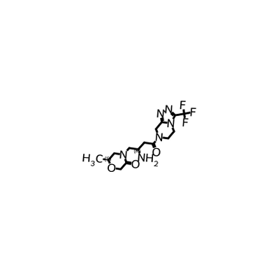 C[C@H]1CN(C[C@H](N)CC(=O)N2CCn3c(nnc3C(F)(F)F)C2)C(=O)CO1